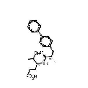 CC(O)[C@H](CCC(=O)O)NC(=O)[C@@H](C)Cc1ccc(-c2ccccc2)cc1